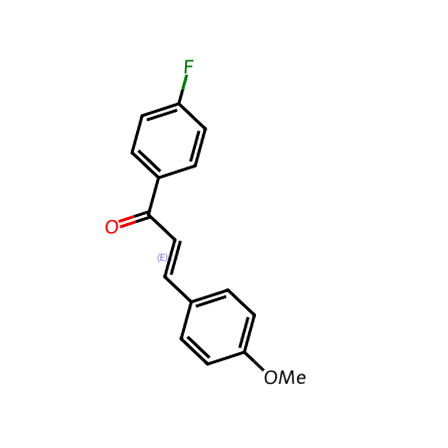 COc1ccc(/C=C/C(=O)c2ccc(F)cc2)cc1